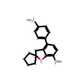 COc1ccc(-c2ccc(C(=O)O)cc2)c2c1OC1(CCCC1)C2